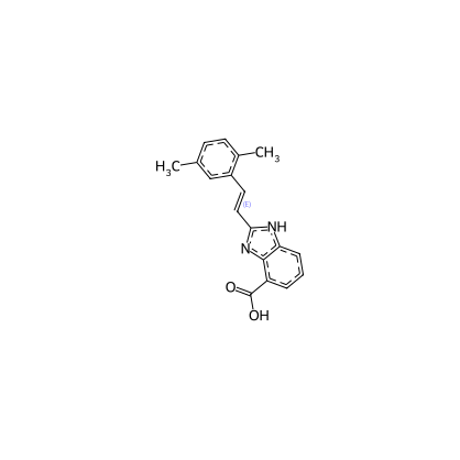 Cc1ccc(C)c(/C=C/c2nc3c(C(=O)O)cccc3[nH]2)c1